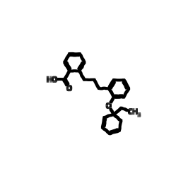 CCC1(Oc2ccccc2CCCc2ccccc2C(=O)O)C=CC=CC1